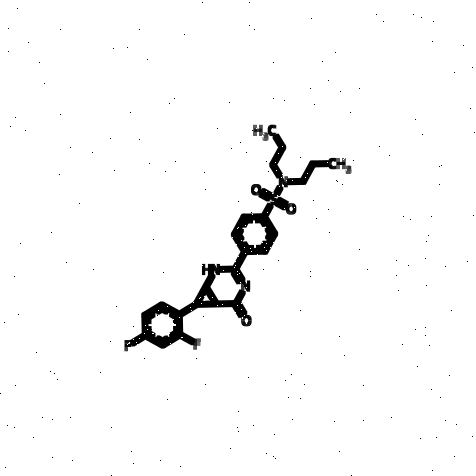 CCCN(CCC)S(=O)(=O)c1ccc(C2=NC(=O)C3C(N2)C3c2ccc(F)cc2F)cc1